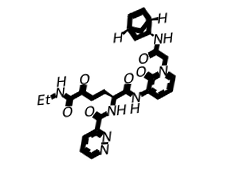 CCNC(=O)C(=O)CC[C@H](NC(=O)c1cccnn1)C(=O)Nc1cccn(CC(=O)N[C@@H]2C[C@@H]3C=C[C@H]2C3)c1=O